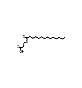 CCCCCCCCCCCCCC(=O)SCCC(=O)O